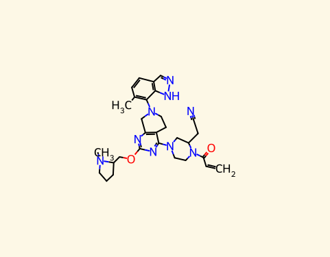 C=CC(=O)N1CCN(c2nc(OCC3CCCN3C)nc3c2CCN(c2c(C)ccc4cn[nH]c24)C3)CC1CC#N